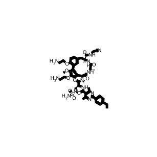 CCc1ccc(-c2nc(C)c(C(=O)N[C@@H](CNS(N)(=O)=O)C(=O)N(C)[C@@H]3C(=O)N[C@@H](C)C(=O)N[C@H](C(=O)NCC#N)Cc4ccc(OCCN)c(c4)-c4cc3cc(OCCN)c4OC)c(C)n2)cc1